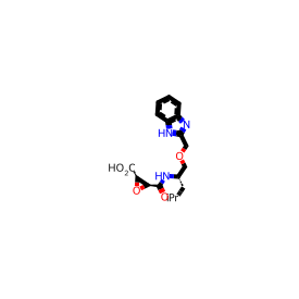 CC(C)C[C@@H](COCc1nc2ccccc2[nH]1)NC(=O)[C@H]1O[C@@H]1C(=O)O